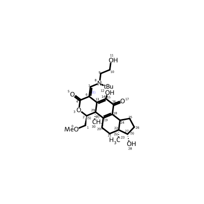 COC[C@H]1OC(=O)/C(=C/N(CCO)C(C)(C)C)C2=C(O)C(=O)C3=C([C]C[C@@]4(C)C3CC[C@@H]4O)[C@]21C